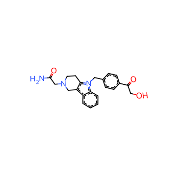 NC(=O)CN1CCc2c(c3ccccc3n2Cc2ccc(C(=O)CO)cc2)C1